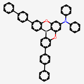 c1ccc(-c2ccc(-c3ccc4c(c3)Oc3cc(N(c5ccccc5)c5ccccc5)cc5c3B4c3ccc(-c4ccc(-c6ccccc6)cc4)cc3O5)cc2)cc1